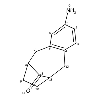 Nc1ccc2c(c1)CC1CCC(C2)C1=O